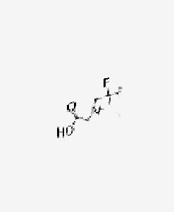 C[C@@H]1N(CC(=O)O)CC1(F)F